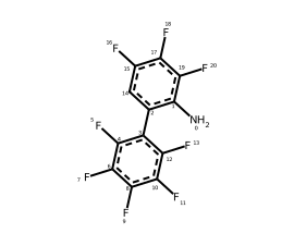 Nc1c(-c2c(F)c(F)c(F)c(F)c2F)cc(F)c(F)c1F